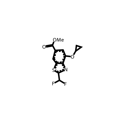 COC(=O)c1cc(OC2CC2)c2nc(C(F)F)sc2c1